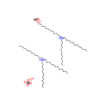 CCCCCCCCCCCC[NH+](CCCCCCCCCCCC)CCCCCCCCCCCC.CCCCCCCCCCCC[NH+](CCCCCCCCCCCC)CCCCCCCCCCCC.[O-2].[O-2].[O-2].[O]=[W](=[O])([O-])[O-].[W+6]